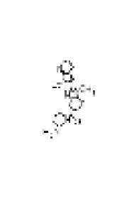 CCn1c(-c2nc3cc(C(=O)N4CCCC(N)C4)ccc3n2C)cc2cccnc21